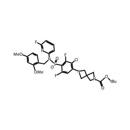 COc1ccc(CN(c2cccc(F)n2)S(=O)(=O)c2c(F)cc(N3CC4(CN(C(=O)OC(C)(C)C)C4)C3)c(Cl)c2F)c(OC)c1